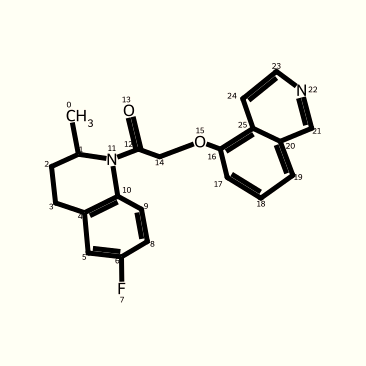 CC1CCc2cc(F)ccc2N1C(=O)COc1cccc2cnccc12